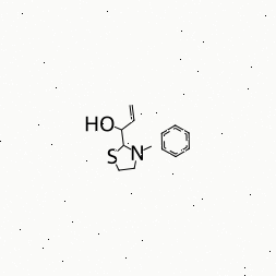 C=CC(O)C1SCCN1C.c1ccccc1